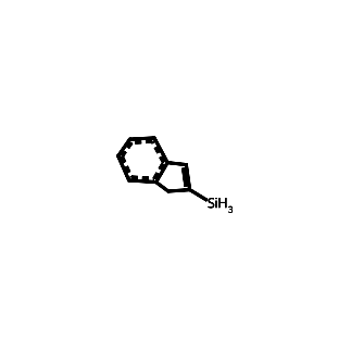 [SiH3]C1=Cc2ccccc2C1